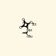 CCOc1c(N[C@H](C)C(C)(C)C)c(=O)c1=O